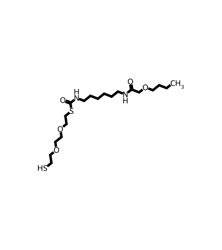 CCCCOCC(=O)NCCCCCCNC(=O)SCCOCCOCCS